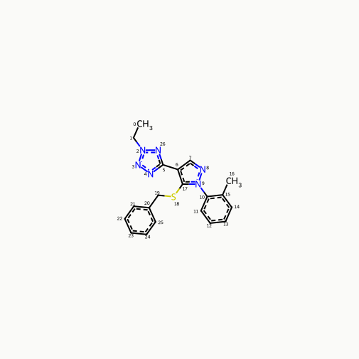 CCn1nnc(-c2cnn(-c3ccccc3C)c2SCc2ccccc2)n1